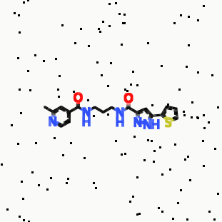 Cc1cc(C(=O)NCCCNC(=O)c2cc(-c3cccs3)[nH]n2)ccn1